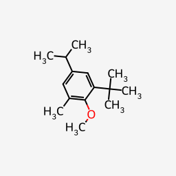 COc1c(C)cc(C(C)C)cc1C(C)(C)C